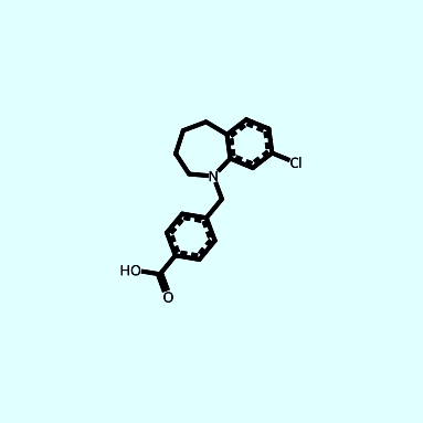 O=C(O)c1ccc(CN2CCCCc3ccc(Cl)cc32)cc1